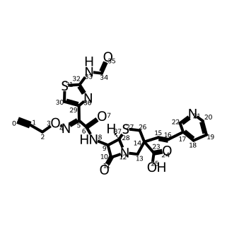 C#CCON=C(C(=O)NC1C(=O)N2CC(C=Cc3cccnc3)(C(=O)O)CS[C@H]12)c1csc(NC=O)n1